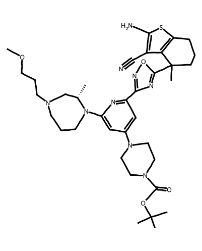 COCCCN1CCCN(c2cc(N3CCN(C(=O)OC(C)(C)C)CC3)cc(-c3noc(C4(C)CCCc5sc(N)c(C#N)c54)n3)n2)[C@@H](C)C1